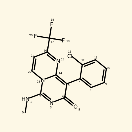 CNc1nc(=O)c(-c2ccccc2Cl)c2nc(C(F)(F)F)ccn12